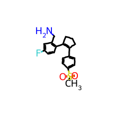 CS(=O)(=O)c1ccc(C2=C(c3ccc(F)cc3CN)CCC2)cc1